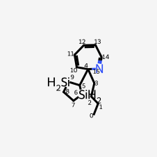 CCCCC1(C2[SiH2]CC[SiH2]2)C=CC=CC=N1